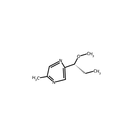 CC[C@@H](OC)c1cnc(C)cn1